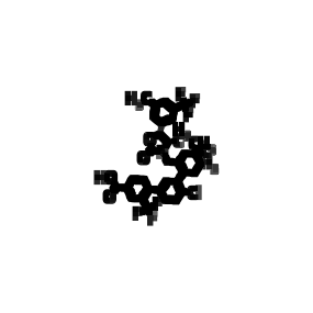 Cc1cc([C@H]2OC(=O)N(CC3=C(c4cc(-c5ccc(C(=O)O)cc5C(F)(F)F)ccc4Cl)CCC(C)(C)C3)[C@H]2C)cc(C(F)(F)F)c1